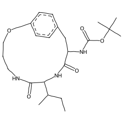 CCC(C)C1NC(=O)C(NC(=O)OC(C)(C)C)Cc2ccc(cc2)OCCCNC1=O